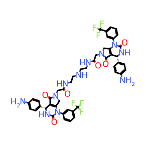 Nc1ccc([C@H]2NC(=O)N(c3cccc(C(F)(F)F)c3)C3=C2C(=O)N(CC(=O)NCCNCCNC(=O)CN2CC4=C(C2=O)[C@@H](c2ccc(N)cc2)NC(=O)N4c2cccc(C(F)(F)F)c2)C3)cc1